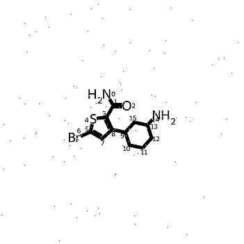 NC(=O)c1sc(Br)cc1C1CCCC(N)C1